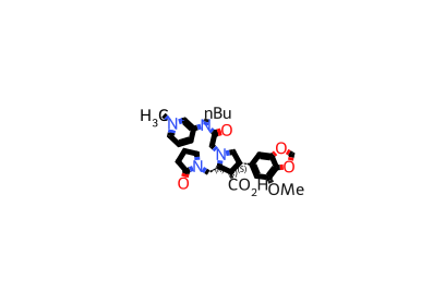 CCCCN(C(=O)CN1C[C@H](c2cc(OC)c3c(c2)OCO3)[C@@H](C(=O)O)[C@@H]1CN1CCCC1=O)c1ccc[n+](C)c1